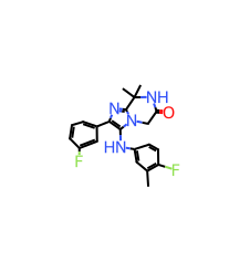 Cc1cc(Nc2c(-c3cccc(F)c3)nc3n2CC(=O)NC3(C)C)ccc1F